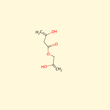 C=C(O)COC(=O)CC(=C)O